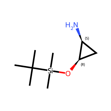 CC(C)(C)[Si](C)(C)O[C@@H]1C[C@@H]1N